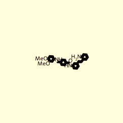 COc1ccc(NCc2ccc(C(=O)Nc3cccc(C=Cc4ccccc4N)c3)cc2)cc1OC